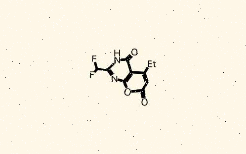 CCc1cc(=O)oc2nc(C(F)F)[nH]c(=O)c12